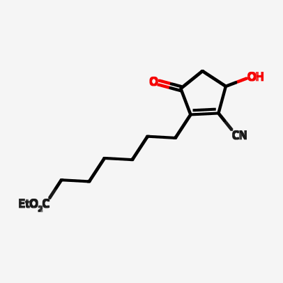 CCOC(=O)CCCCCCC1=C(C#N)C(O)CC1=O